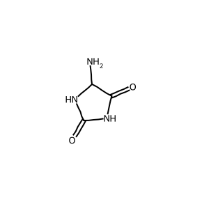 NC1NC(=O)NC1=O